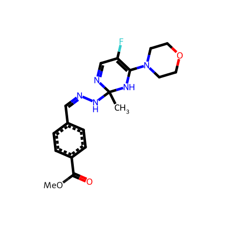 COC(=O)c1ccc(/C=N\NC2(C)N=CC(F)=C(N3CCOCC3)N2)cc1